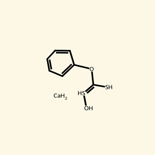 O[SH]=C(S)Oc1ccccc1.[CaH2]